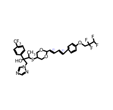 CC(SC1COC(/C=C/C=C/c2ccc(OCC(F)(F)C(F)F)cc2)OC1)C(O)(Cn1cncn1)c1ccc(C(F)(F)F)cc1